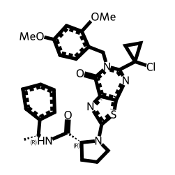 COc1ccc(Cn2c(C3(Cl)CC3)nc3sc(N4CCC[C@@H]4C(=O)N[C@H](C)c4ccccc4)nc3c2=O)c(OC)c1